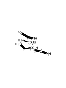 C=CC(=O)O.CCOC(N)=O.N=C=O.N=C=O